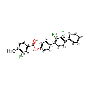 Cc1ccc(C(=O)Oc2ccc(-c3ccc(-c4ccccc4)c(F)c3F)cc2)cc1F